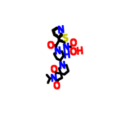 CC(C)N1C(=O)CC2(CCCN(C3CCN(C(=O)c4c(NC(=O)O)sc5ncccc45)CC3)C2)C1=O